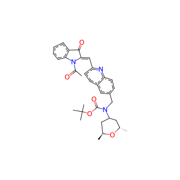 CC(=O)N1/C(=C\c2ccc3cc(CN(C(=O)OC(C)(C)C)C4C[C@H](C)O[C@@H](C)C4)ccc3n2)C(=O)c2ccccc21